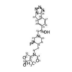 CC1=C(N(C=O)CCC2CCN(C[C@@H](O)c3ccc4c(c3)Cn3nnnc3-4)C[C@@H]2F)COC1=O